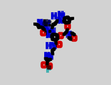 CCn1nc(C)cc1C(=O)Nc1nc2cc(C(=O)NCCCn3cc(C(=O)OF)cn3)cc3c2n1C/C=C/CNc1c(N)cc(C)cc1OCC(N1CCOCC1)CO3